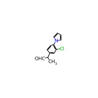 CC([C]=O)c1ccc(-n2cccc2)c(Cl)c1